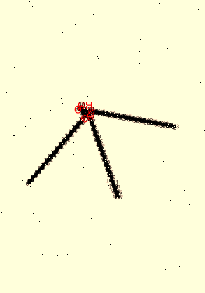 CCCCCCCCCCCCCCCCCCCCCCCCCCCCCCCCOc1cc(C(=O)O)cc(OCCCCCCCCCCCCCCCCCCCCCCCCCCCCCCCC)c1OCCCCCCCCCCCCCCCCCCCCCCCCCCCCCCCC